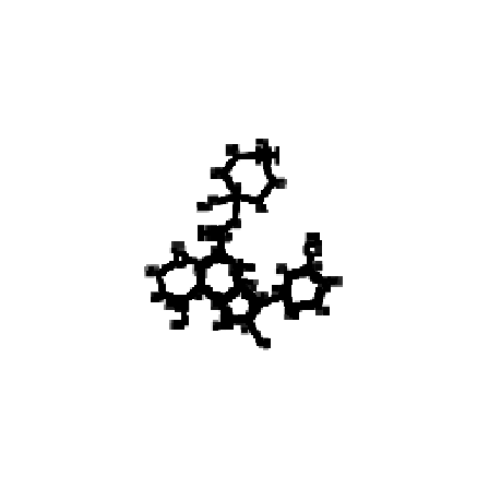 Cc1nc2c3c(c(NCC4(F)CCNCC4)nn2c1-c1ccnc(Cl)c1)OCCN3C